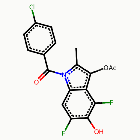 CC(=O)Oc1c(C)n(C(=O)c2ccc(Cl)cc2)c2cc(F)c(O)c(F)c12